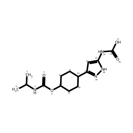 CC(C)NC(=O)OC1CCC(c2cc(NC(=O)O)[nH]n2)CC1